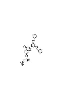 CC(C)NC[C@@H](O)COc1ccc2c(=O)cc(-c3cc(OCc4ccccc4)cc(OCc4ccccc4)c3)oc2c1